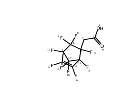 O=C(O)CC1(F)C(F)(F)C2(F)C(F)=C(F)C1(F)C2(F)F